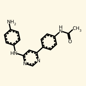 CC(=O)Nc1ccc(-c2cc(Nc3ccc(N)cc3)ncn2)cc1